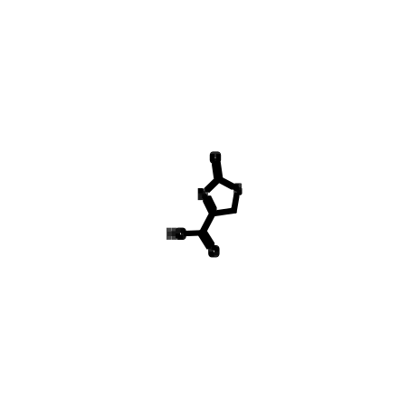 O=C1N=C(C(=O)O)CS1